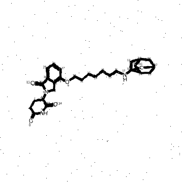 O=C1CCC(N2Cc3c(OCCCCCCCNC45CC6CC(CC4C6)C5)cccc3C2=O)C(=O)N1